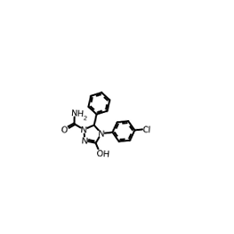 NC(=O)N1N=C(O)N(c2ccc(Cl)cc2)C1c1ccccc1